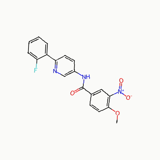 COc1ccc(C(=O)Nc2ccc(-c3ccccc3F)nc2)cc1[N+](=O)[O-]